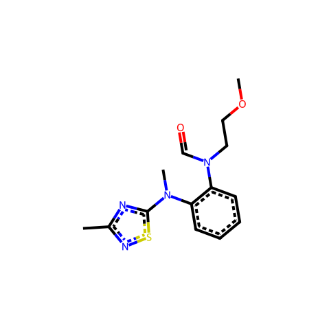 COCCN(C=O)c1ccccc1N(C)c1nc(C)ns1